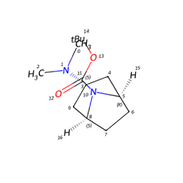 CN(C)[C@@H]1C[C@H]2CC[C@@H](C1)N2C(=O)OC(C)(C)C